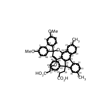 COc1ccc(C2(c3ccc(OC)cc3)C=C(OCCC(=O)O)c3c4c(c5ccc(C)cc5c3O2)-c2ccc(C)cc2C4(CCC(=O)O)c2ccccc2)cc1